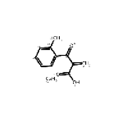 C=C(C(=O)O)C(=O)c1ccccc1C.[CaH2]